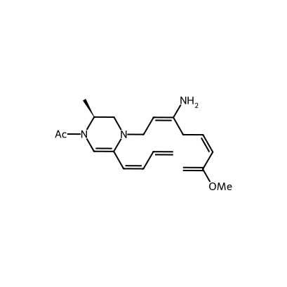 C=C/C=C\C1=CN(C(C)=O)[C@@H](C)CN1C/C=C(/N)C/C=C\C(=C)OC